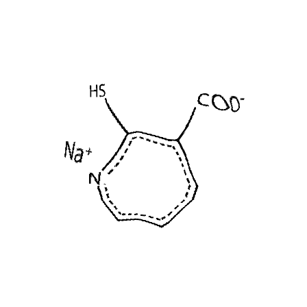 O=C([O-])c1cccnc1S.[Na+]